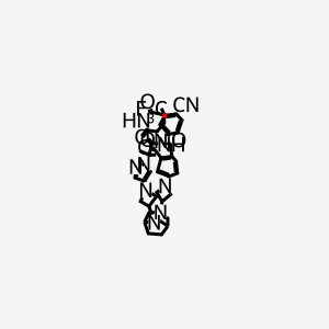 CC(C)(C(=O)Nc1ccc(C#N)c(C(F)(F)F)c1)n1cc(N2CC(N3CC4CCC3CN(C3CN(c5ccc6c(c5)C(=O)N(C5CCC(=O)NC5=O)C6=O)C3)C4)C2)cn1